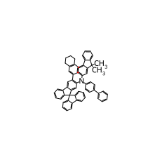 CC1(C)c2ccccc2-c2ccc(N(c3ccc(-c4ccccc4)cc3)c3cc4c(cc3-c3ccc5c(c3)CCCC5)-c3ccccc3C43c4ccccc4-c4ccccc43)cc21